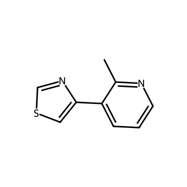 Cc1ncccc1-c1cscn1